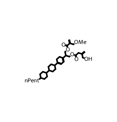 C=C(CO)CC(=O)OCC(COC(=O)C(=C)COC)C1=CC=C(C2CCC(C3CCC(CCCCC)CC3)CC2)CC1